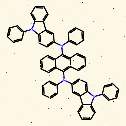 c1ccc(N(c2ccc3c(c2)c2ccccc2n3-c2ccccc2)c2c3ccccc3c(N(c3ccccc3)c3ccc4c(c3)c3ccccc3n4-c3ccccc3)c3ccccc23)cc1